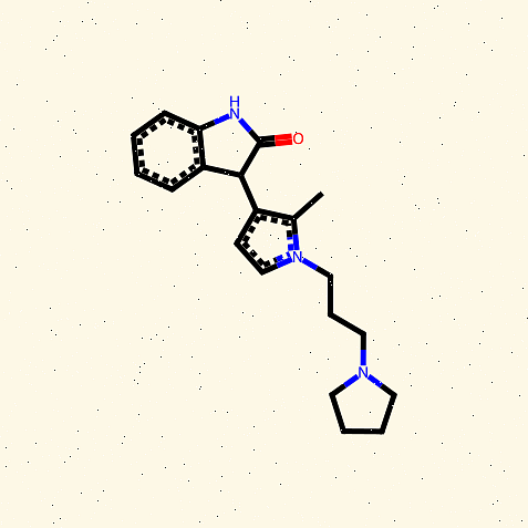 Cc1c(C2C(=O)Nc3ccccc32)ccn1CCCN1CCCC1